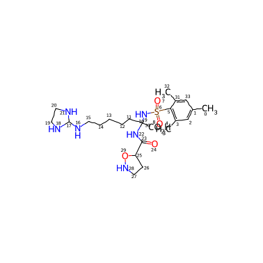 Cc1cc(C)c(S(=O)(=O)NC(CCCCCNC2NCCN2)(NC(=O)C2CCNO2)C(=O)O)c(C)c1